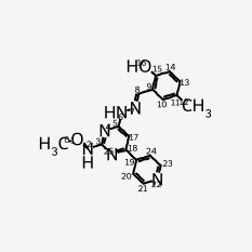 CONc1nc(NN=Cc2cc(C)ccc2O)cc(-c2ccncc2)n1